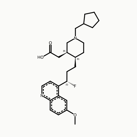 COc1ccc2nccc([C@@H](F)CC[C@@H]3CCN(CC4CCCC4)C[C@@H]3CC(=O)O)c2c1